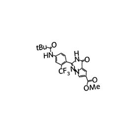 COC(=O)c1cc2c(=O)[nH]c(-c3ccc(NC(=O)C(C)(C)C)cc3C(F)(F)F)nn2c1